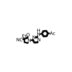 CC[C@]1(C#N)CCN(c2ccnc(Nc3ccc(C(C)=O)cc3)n2)C1=O